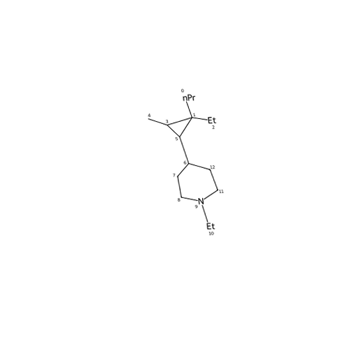 CCCC1(CC)C(C)C1C1CCN(CC)CC1